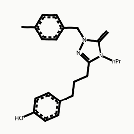 C=C1N(Cc2ccc(C)cc2)N=C(CCCc2ccc(O)cc2)N1CCC